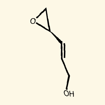 OCC=C[C@@H]1CO1